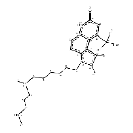 CNCCCN(C)CCCCCCn1c(C)c(C)c2c3c(C(F)(F)F)cc(=O)[nH]c3ccc21